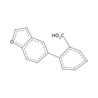 O=C(O)c1ccccc1-c1ccc2occc2c1